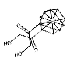 O=C(CO)[C]12[CH]3[CH]4[CH]5[CH]1[Fe]45321678[CH]2[CH]1[CH]6[C]7(C(=O)CO)[CH]28